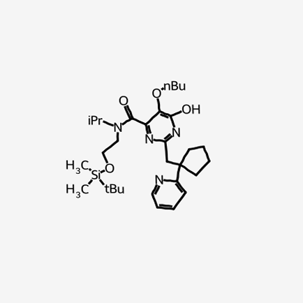 CCCCOc1c(O)nc(CC2(c3ccccn3)CCCC2)nc1C(=O)N(CCO[Si](C)(C)C(C)(C)C)C(C)C